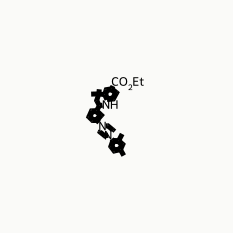 CCOC(=O)c1ccc2c(c1)C(C)(C)CC(c1cccc(N3CCN(c4ccc(C)cc4C)CC3)c1)N2